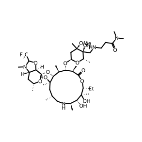 CC[C@H]1OC(=O)[C@H](C)[C@@H](O[C@H]2C[C@@](C)(OC)[C@](O)(CNCCC(=O)N(C)C)[C@H](C)O2)[C@H](C)[C@@H](O[C@@H]2O[C@H](C)C[C@H]3[C@H]2OC(C(F)(F)F)N3C)[C@](C)(O)C[C@@H](C)CN[C@H](C)[C@@H](O)[C@]1(C)O